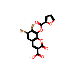 O=C(Oc1c(Br)c(Br)cc2cc(C(=O)O)c(=O)oc12)c1ccco1